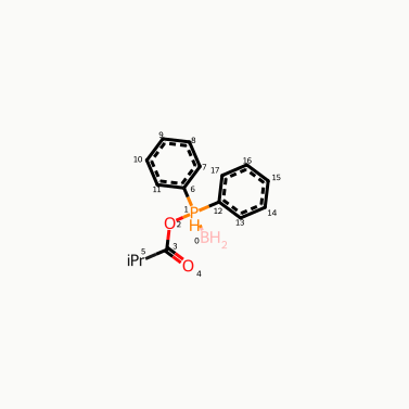 B[PH](OC(=O)C(C)C)(c1ccccc1)c1ccccc1